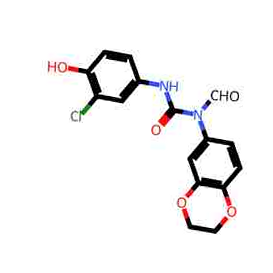 O=CN(C(=O)Nc1ccc(O)c(Cl)c1)c1ccc2c(c1)OCCO2